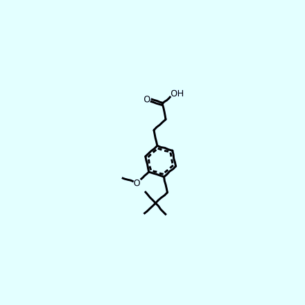 COc1cc(CCC(=O)O)ccc1CC(C)(C)C